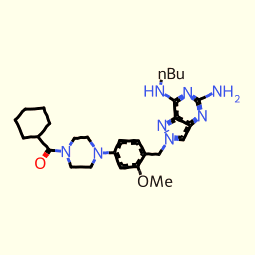 CCCCNc1nc(N)nc2cn(Cc3ccc(N4CCN(C(=O)C5CCCCC5)CC4)cc3OC)nc12